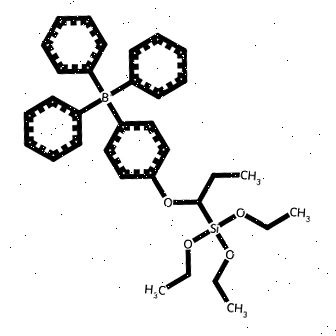 CCO[Si](OCC)(OCC)C(CC)Oc1ccc([B-](c2ccccc2)(c2ccccc2)c2ccccc2)cc1